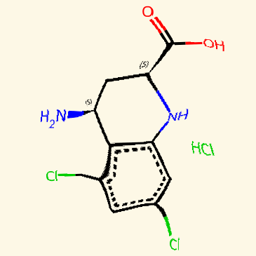 Cl.N[C@H]1C[C@@H](C(=O)O)Nc2cc(Cl)cc(Cl)c21